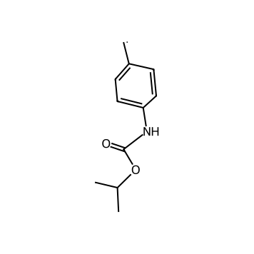 [CH2]c1ccc(NC(=O)OC(C)C)cc1